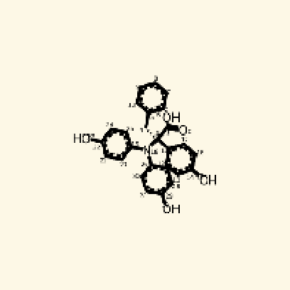 O=C(O)[C@@](Cc1ccccc1)(c1ccc(O)cc1)N(c1ccc(O)cc1)c1ccc(O)cc1